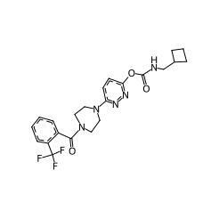 O=C(NCC1CCC1)Oc1ccc(N2CCN(C(=O)c3ccccc3C(F)(F)F)CC2)nn1